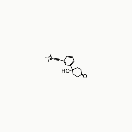 C[Si](C)(C)C#Cc1cccc(C2(O)CCC(=O)CC2)c1